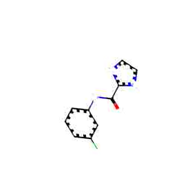 O=C(Nc1cccc(Cl)c1)c1ncc[nH]1